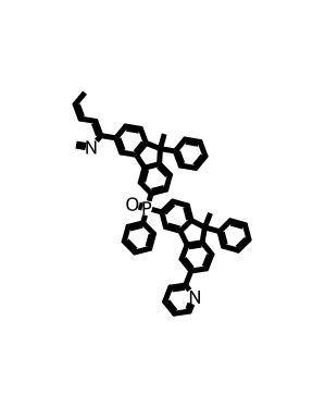 C=N/C(=C\C=C/C)c1ccc2c(c1)-c1cc(P(=O)(c3ccccc3)c3ccc4c(c3)-c3cc(-c5ccccn5)ccc3C4(C)c3ccccc3)ccc1C2(C)c1ccccc1